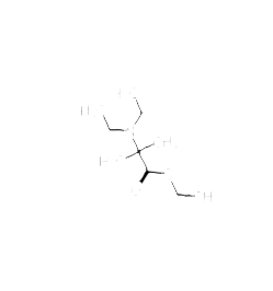 CCOC(=O)C(C)(C)N(CC)CC